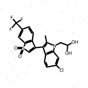 Cc1c(C2=CS(=O)(=O)c3cc(C(F)(F)F)ccc32)c2ccc(Cl)cc2n1CC(O)O